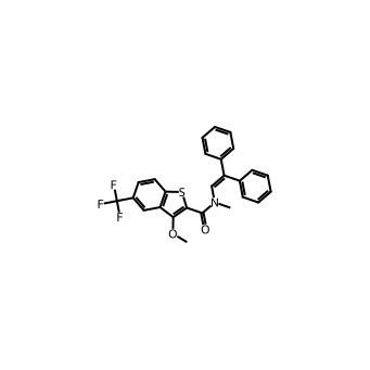 COc1c(C(=O)N(C)C=C(c2ccccc2)c2ccccc2)sc2ccc(C(F)(F)F)cc12